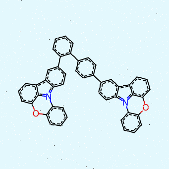 c1ccc2c(c1)Oc1cccc3c4cc(-c5ccc(-c6ccccc6-c6ccc7c(c6)c6cccc8c6n7-c6ccccc6O8)cc5)ccc4n-2c13